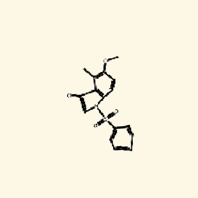 [CH2]c1c(OC)ccc2c1c(Cl)cn2S(=O)(=O)c1ccccc1